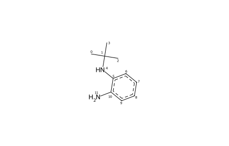 CC(C)(C)Nc1ccccc1N